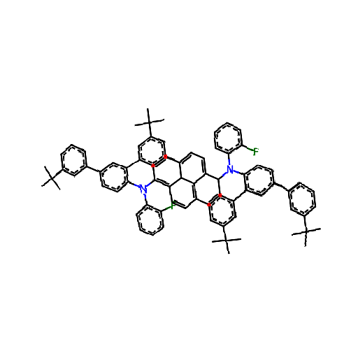 CC(C)(C)c1cccc(-c2ccc(N(C3=C4C=CC5=C6C(=CC=C(C=C3)C46)C(N(c3ccccc3F)c3ccc(-c4cccc(C(C)(C)C)c4)cc3-c3cccc(C(C)(C)C)c3)C=C5)c3ccccc3F)c(-c3cccc(C(C)(C)C)c3)c2)c1